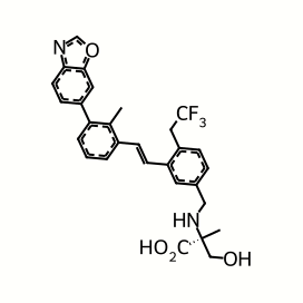 Cc1c(/C=C/c2cc(CN[C@@](C)(CO)C(=O)O)ccc2CC(F)(F)F)cccc1-c1ccc2ncoc2c1